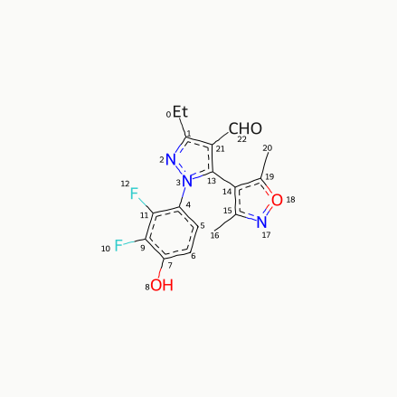 CCc1nn(-c2ccc(O)c(F)c2F)c(-c2c(C)noc2C)c1C=O